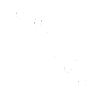 NCc1cc(C(O)CNCCCCCCNCC(O)c2ccc(OCc3ccccc3)c(CN)c2)ccc1OCc1ccccc1